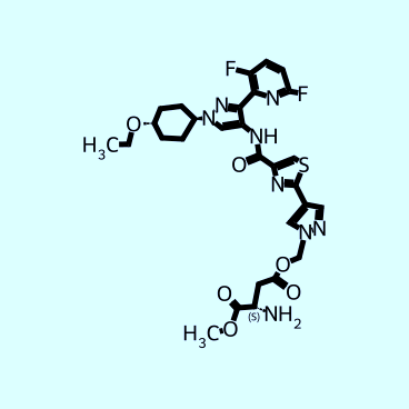 CCO[C@H]1CC[C@H](n2cc(NC(=O)c3csc(-c4cnn(COC(=O)C[C@H](N)C(=O)OC)c4)n3)c(-c3nc(F)ccc3F)n2)CC1